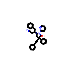 N#CCC(CCC(C#Cc1ccccc1)(C(=O)Nc1ccccn1)c1ccccc1)Cc1ccccc1